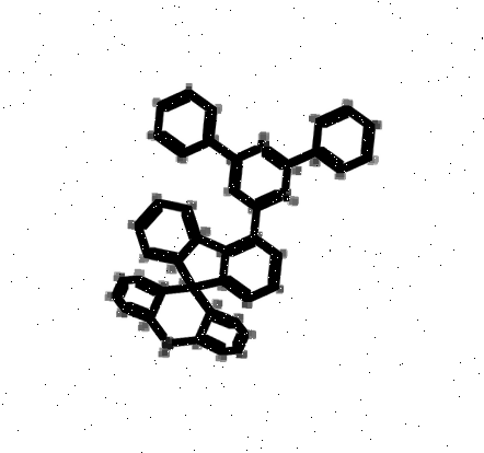 c1ccc(-c2cc(-c3cccc4c3-c3ccccc3C43c4ccccc4Oc4ccccc43)nc(-c3ccccc3)n2)cc1